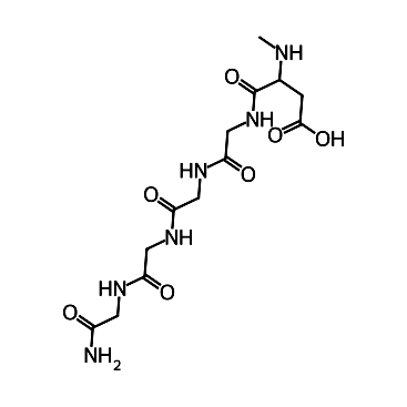 CNC(CC(=O)O)C(=O)NCC(=O)NCC(=O)NCC(=O)NCC(N)=O